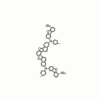 Cc1ccc(N(c2ccc3c(ccc4c3oc3ccc5oc6c7ccc(N(c8ccc(C)cc8)c8ccc9oc%10c(C(C)(C)C)cccc%10c9c8)cc7ccc6c5c34)c2)c2ccc3oc4c(C(C)(C)C)cccc4c3c2)cc1